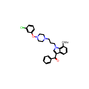 COc1cccc2c(C(=O)c3ccccc3)cn(CCCN3CCN(Oc4cccc(Cl)c4)CC3)c12